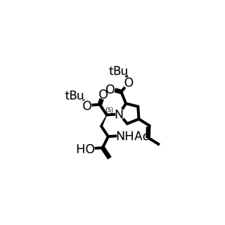 C=C(O)C(C[C@@H](C(=O)OC(C)(C)C)N1CC(C=CC)CC1C(=O)OC(C)(C)C)NC(C)=O